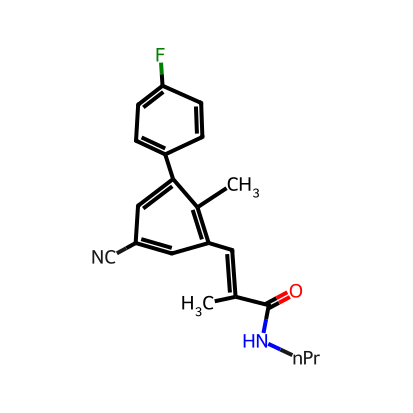 CCCNC(=O)/C(C)=C/c1cc(C#N)cc(-c2ccc(F)cc2)c1C